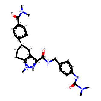 CN(C)C(=O)Nc1ccc(CNC(=O)c2nn(C)c3c2C[C@H](c2ccc(C(=O)N(C)C)cc2)CC3)cc1